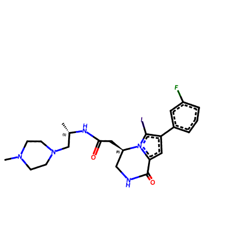 C[C@@H](CN1CCN(C)CC1)NC(=O)C[C@@H]1CNC(=O)c2cc(-c3cccc(F)c3)c(I)n21